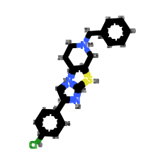 Clc1ccc(-c2cn3c4c(sc3n2)CN(Cc2ccccc2)CC4)cc1